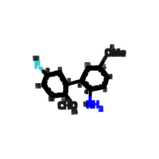 COc1ccc(N)c(-c2cc(F)ccc2C=O)c1